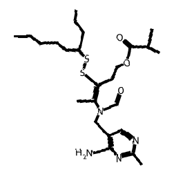 CCCCCC(CCC)SS/C(CCOC(=O)C(C)C)=C(\C)N(C=O)Cc1cnc(C)nc1N